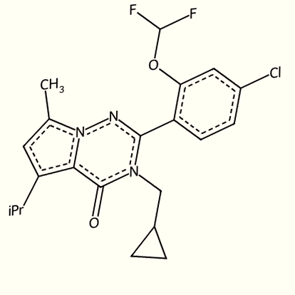 Cc1cc(C(C)C)c2c(=O)n(CC3CC3)c(-c3ccc(Cl)cc3OC(F)F)nn12